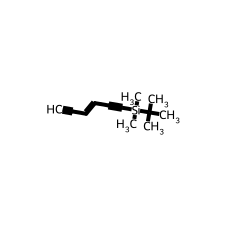 C#CC=CC#C[Si](C)(C)C(C)(C)C